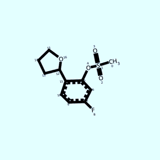 CS(=O)(=O)Oc1cc(F)ccc1C1CCCO1